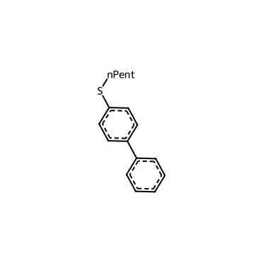 [CH2]CCCCSc1ccc(-c2ccccc2)cc1